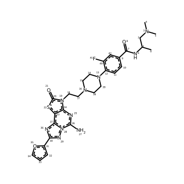 CC(CN(C)C)NC(=O)c1ccc(N2CCN(CCn3c(=O)sc4c3nc(N)n3nc(-c5ccco5)nc43)CC2)c(F)c1